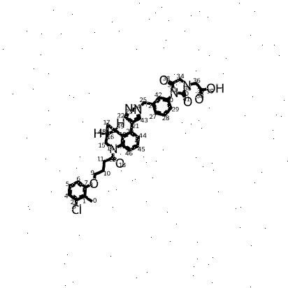 Cc1c(Cl)cccc1OCCCC(=O)N1C[C@@H]2C[C@@H]2c2c(-c3cnn(Cc4cccc(N5C(=O)CN(CC(=O)O)C5=O)c4)c3)cccc21